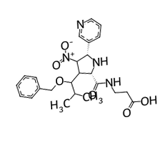 CC(C)C(OCc1ccccc1)C1C([N+](=O)[O-])[C@H](c2cccnc2)N[C@@H]1C(=O)NCCC(=O)O